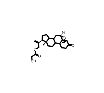 C=C(COC(=O)CO)[C@H]1CCC2C3C[C@H]4OC[C@@]5(CCC(=O)C=C45)C3CC[C@@]21C